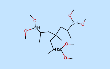 CO[SiH](OC)C(C)CC(C)(CC(C)[SiH](OC)OC)CC(C)[SiH](OC)OC